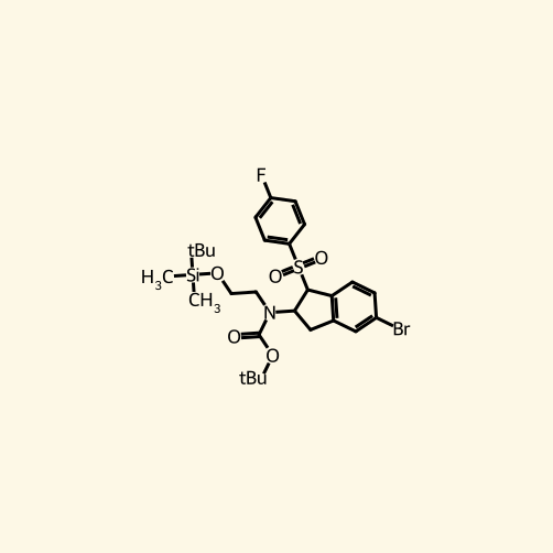 CC(C)(C)OC(=O)N(CCO[Si](C)(C)C(C)(C)C)C1Cc2cc(Br)ccc2C1S(=O)(=O)c1ccc(F)cc1